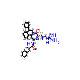 C/C(=C\c1ccccc1)C(=O)NC[C@@H]1CCN(CC(c2ccccc2)c2ccccc2)C(=O)[C@H](CCCNC(=N)N)N1